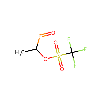 CC(OS(=O)(=O)C(F)(F)F)P=O